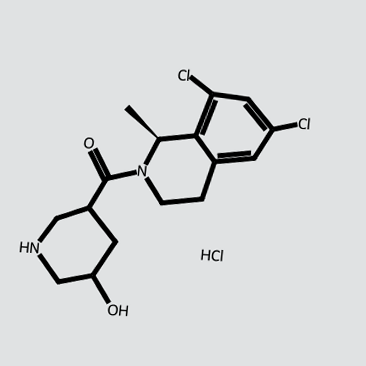 C[C@H]1c2c(Cl)cc(Cl)cc2CCN1C(=O)C1CNCC(O)C1.Cl